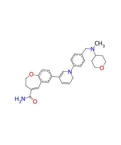 CN(Cc1ccc(N2C=C(c3ccc4c(c3)C=C(C(N)=O)CCO4)C=CC2)cc1)C1CCOCC1